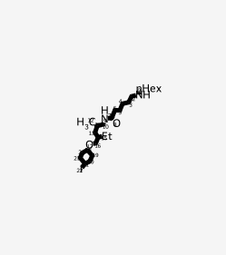 CCCCCCNCCCCCC(=O)NCC(C)CC(CC)COC1CCC(I)CC1